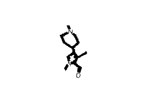 Cc1c(C2CCN(C)CC2)cn(C)c1C=O